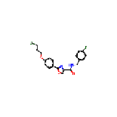 O=C(NCc1ccc(F)cc1)c1coc(-c2ccc(OCCCCl)cc2)n1